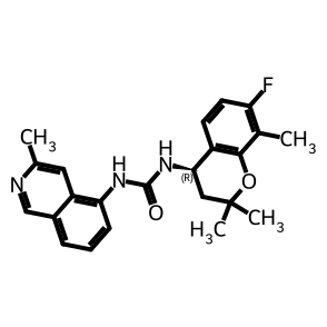 Cc1cc2c(NC(=O)N[C@@H]3CC(C)(C)Oc4c3ccc(F)c4C)cccc2cn1